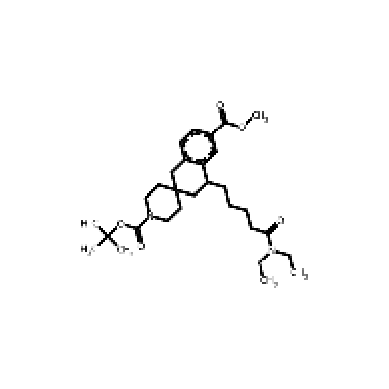 CCN(CC)C(=O)CCCCC1CC2(CCN(C(=O)OC(C)(C)C)CC2)Cc2ccc(C(=O)OC)cc21